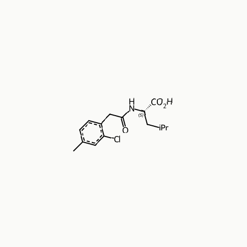 Cc1ccc(CC(=O)N[C@@H](CC(C)C)C(=O)O)c(Cl)c1